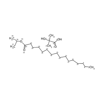 CC(C)(O)C(=O)O.CCCCCCCCCCCCCCCC(=O)OC(C)C